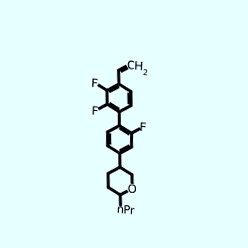 C=Cc1ccc(-c2ccc(C3CCC(CCC)OC3)cc2F)c(F)c1F